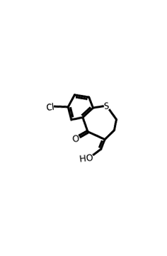 O=C1C(=CO)CCSc2ccc(Cl)cc21